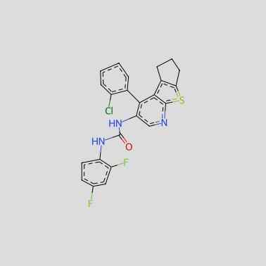 O=C(Nc1ccc(F)cc1F)Nc1cnc2sc3c(c2c1-c1ccccc1Cl)CCC3